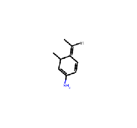 CC/C(C)=C1\C=CC(N)=CC1C